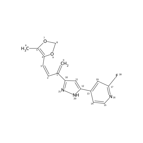 C=C(/C=C\C1=C(C)OCO1)c1cc(-c2ccnc(F)c2)[nH]n1